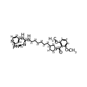 COc1cccc(OC)c1C(=O)N1CCC(CCCCCCNC(=NC#N)Nc2ccnc(F)c2)C1